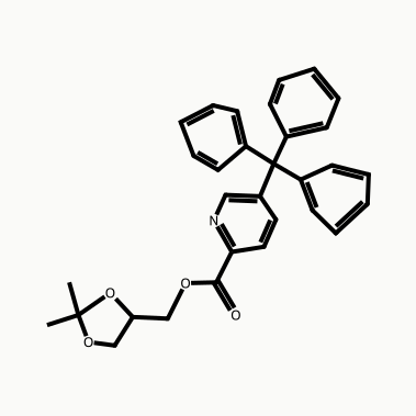 CC1(C)OCC(COC(=O)c2ccc(C(c3ccccc3)(c3ccccc3)c3ccccc3)cn2)O1